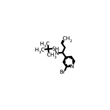 C=CCC(NSC(C)(C)C)c1ccnc(Br)c1